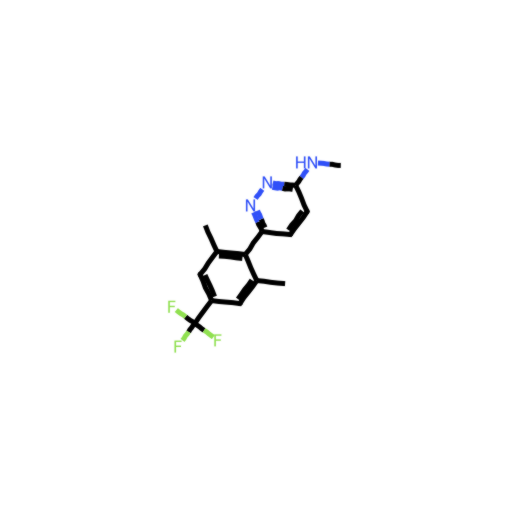 CNc1ccc(-c2c(C)cc(C(F)(F)F)cc2C)nn1